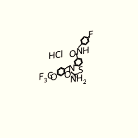 Cl.N[C@H]1CSc2ccc(C(=O)NCc3ccc(F)cc3)cc2N(Cc2ccc(OC(F)(F)F)cc2)C1=O